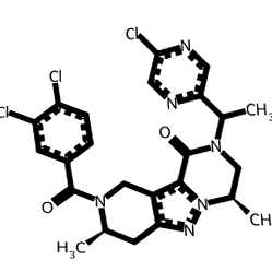 CC(c1cnc(Cl)cn1)N1C[C@@H](C)n2nc3c(c2C1=O)CN(C(=O)c1ccc(Cl)c(Cl)c1)[C@H](C)C3